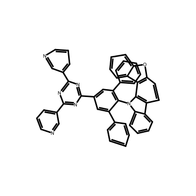 c1ccc(-c2cc(-c3nc(-c4cccnc4)nc(-c4cccnc4)n3)cc(-c3ccccc3)c2-n2c3ccccc3c3ccc4oc5ccccc5c4c32)cc1